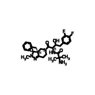 CN1N=C2CCN(C(=O)[C@H](NC(=O)C(C)(C)N)C(O)Cc3ccc(F)c(F)c3)C[C@]2(Cc2ccccc2)C1=O